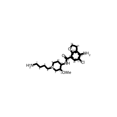 COC1CN(CCCCN)CCC1NC(=O)c1cc(Cl)c(N)c2c1OCC2